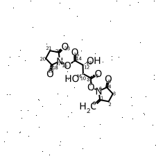 C=C1CCC(=O)N1OC(=O)[C@H](O)[C@@H](O)C(=O)ON1C(=O)CCC1=O